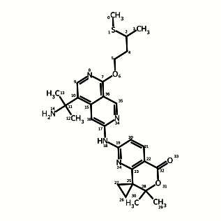 CSC(C)CCOc1ncc(C(C)(C)N)c2cc(Nc3ccc4c(n3)C3(CC3)C(C)(C)OC4=O)ncc12